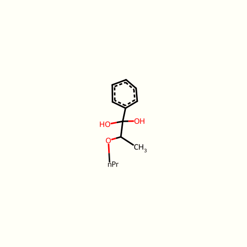 CCCOC(C)C(O)(O)c1ccccc1